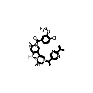 C=C(C)c1ncc(C(C)N2C=C3C4=C(C[C@@H](C)N(C(=O)c5ccc(Cl)c(OC(F)(F)F)c5)C4)NN3[C@H](C)C2)cn1